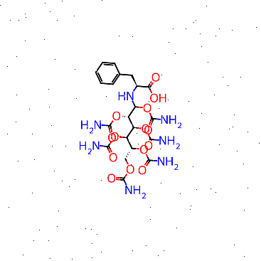 NC(=O)OC[C@@H](OC(N)=O)[C@@H](OC(N)=O)[C@H](OC(N)=O)[C@H](OC(N)=O)C(N[C@@H](Cc1ccccc1)C(=O)O)OC(N)=O